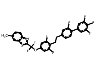 Cc1ccc2nc(C(F)(F)Oc3cc(F)c(CCc4ccc(-c5cc(F)c(F)c(F)c5)c(F)c4)c(F)c3)sc2c1